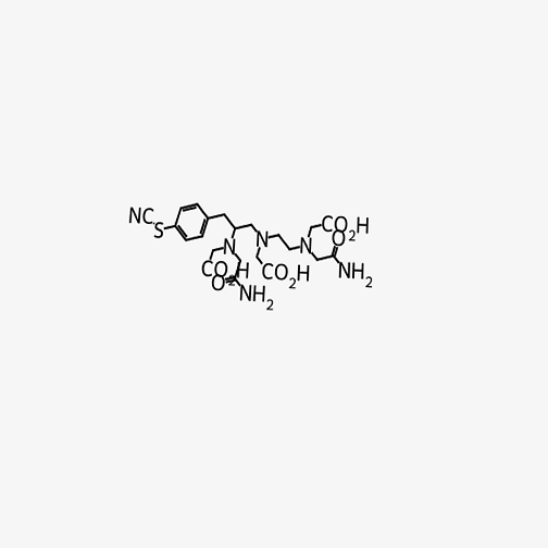 N#CSc1ccc(CC(CN(CCN(CC(N)=O)CC(=O)O)CC(=O)O)N(CC(N)=O)CC(=O)O)cc1